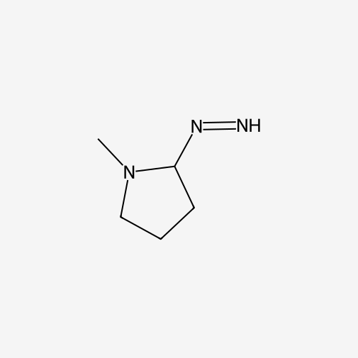 CN1CCCC1N=N